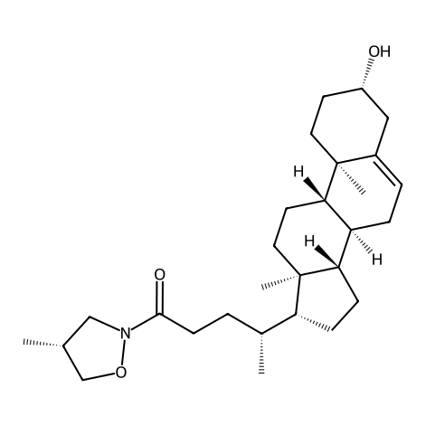 C[C@H]1CON(C(=O)CC[C@@H](C)[C@H]2CC[C@H]3[C@@H]4CC=C5C[C@@H](O)CC[C@]5(C)[C@H]4CC[C@]23C)C1